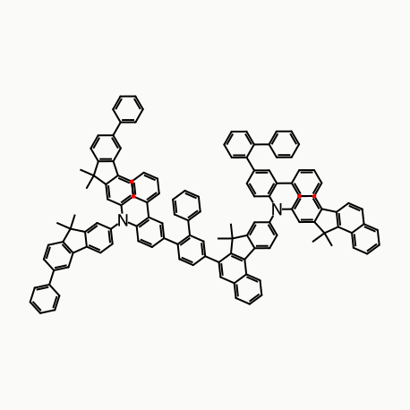 CC1(C)c2ccc(-c3ccccc3)cc2-c2ccc(N(c3ccc4c(c3)C(C)(C)c3ccc(-c5ccccc5)cc3-4)c3ccc(-c4ccc(-c5cc6ccccc6c6c5C(C)(C)c5cc(N(c7ccc8c(c7)C(C)(C)c7c-8ccc8ccccc78)c7ccc(-c8ccccc8-c8ccccc8)cc7-c7ccccc7)ccc5-6)cc4-c4ccccc4)cc3-c3ccccc3)cc21